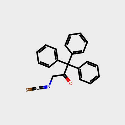 O=C(CN=C=S)C(c1ccccc1)(c1ccccc1)c1ccccc1